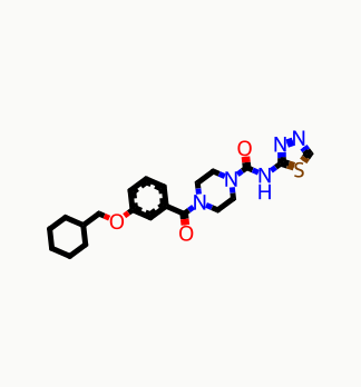 O=C(Nc1nncs1)N1CCN(C(=O)c2cccc(OCC3CCCCC3)c2)CC1